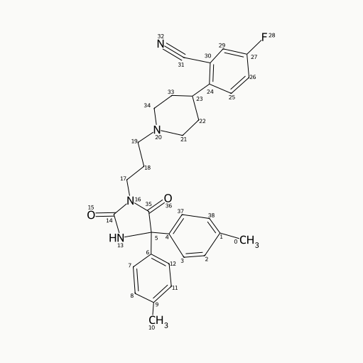 Cc1ccc(C2(c3ccc(C)cc3)NC(=O)N(CCCN3CCC(c4ccc(F)cc4C#N)CC3)C2=O)cc1